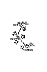 CCCCN(CCCC)c1nc(N(CCCC)CCCC)nc(N(CCCCCCN(c2nc(N(CCCC)C3CC(C)(C)N(C)C(C)(C)C3)nc(N(CCCCCCN(c3nc(N(CCCC)CCCC)nc(N(CCCC)CCCC)n3)C3CC(C)(C)N(C)C(C)(C)C3)C3CC(C)(C)N(C)C(C)(C)C3)n2)C2CC(C)(C)N(C)C(C)(C)C2)C2CC(C)(C)N(C)C(C)(C)C2)n1